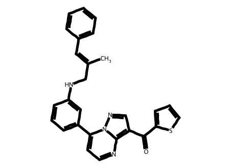 CC(=Cc1ccccc1)CNc1cccc(-c2ccnc3c(C(=O)c4cccs4)cnn23)c1